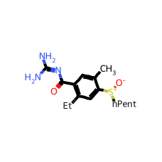 CCCCC[S+]([O-])c1cc(CC)c(C(=O)N=C(N)N)cc1C